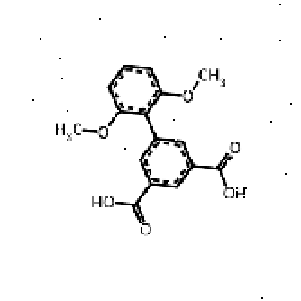 COc1cccc(OC)c1-c1cc(C(=O)O)cc(C(=O)O)c1